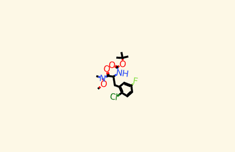 CON(C)C(=O)C(Cc1cc(F)ccc1Cl)NC(=O)OC(C)(C)C